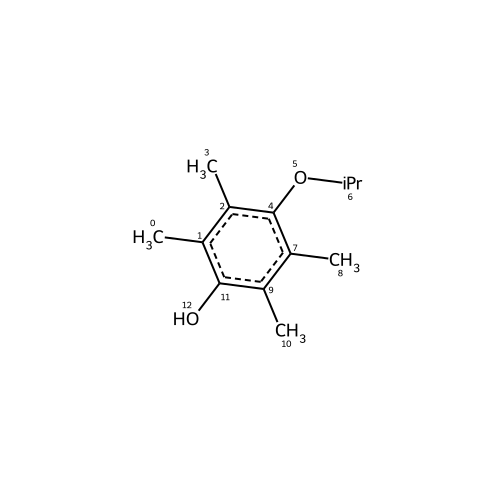 Cc1c(C)c(OC(C)C)c(C)c(C)c1O